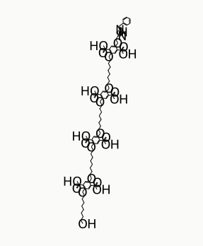 O=C(O)c1cc(OCCCCCCCCOc2cc(C(=O)O)c(OCCCCCCCCOc3cc(C(=O)O)c(OCCCCCCCCOc4cc(C(=O)O)c(OCc5cn(Cc6ccccc6)nn5)cc4C(=O)O)cc3C(=O)O)cc2C(=O)O)c(C(=O)O)cc1OCCCCCCCCO